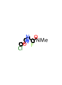 CNC(=O)c1cc(F)cc(-c2cnc3ccc(Oc4cccc(Cl)c4)nn23)c1